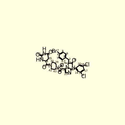 C[C@@]1(Cc2ccc(Br)cc2)C(=O)N(c2cc(Cl)cc(Cl)c2)c2ncc(S(=O)(=O)N3CCN(C(=O)[C@@H]4CC(=O)NC(=O)N4)CC3)n21